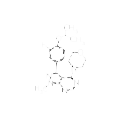 CC(C)Oc1ccc(-c2nn(C)c3ncnc(N4CCOCC4)c23)cc1F